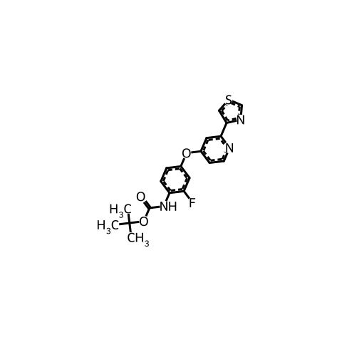 CC(C)(C)OC(=O)Nc1ccc(Oc2ccnc(-c3cscn3)c2)cc1F